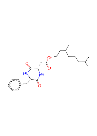 CC(C)CCCC(C)CCOC(=O)C[C@@H]1NC(=O)[C@H](Cc2ccccc2)NC1=O